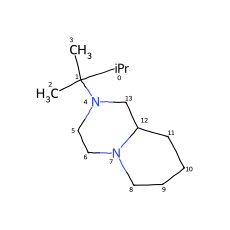 CC(C)C(C)(C)N1CCN2CCCCC2C1